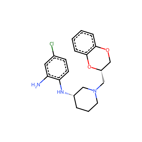 Nc1cc(Cl)ccc1N[C@H]1CCCN(C[C@H]2COc3ccccc3O2)C1